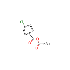 CCCCC(=O)OC(=O)c1ccc(Cl)cc1